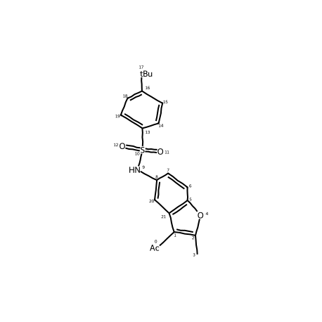 CC(=O)c1c(C)oc2ccc(NS(=O)(=O)c3ccc(C(C)(C)C)cc3)cc12